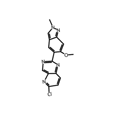 COc1cc2nn(C)cc2cc1-c1ncc2nc(Cl)ccc2n1